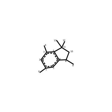 Cc1cc(C)c2c(c1)C(C)CC2(C)C